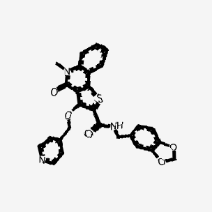 Cn1c(=O)c2c(OCc3ccncc3)c(C(=O)NCc3ccc4c(c3)OCO4)sc2c2ccccc21